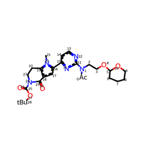 CC(=O)N(CCOC1CCCCO1)c1nccc(-c2cc3c(n2C)CCN(C(=O)OC(C)(C)C)C3=O)n1